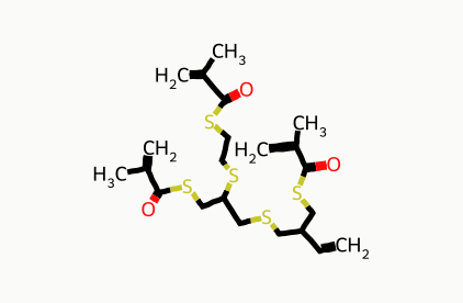 C=CC(CSCC(CSC(=O)C(=C)C)SCCSC(=O)C(=C)C)CSC(=O)C(=C)C